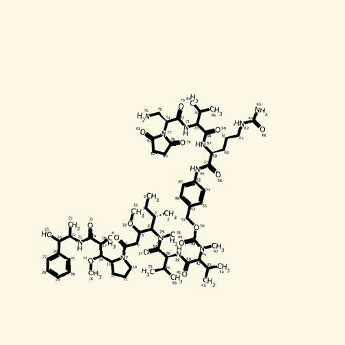 CC[C@H](C)C(C(CC(=O)N1CCCC1C(OC)C(C)C(=O)NC(C)C(O)c1ccccc1)OC)N(C)C(=O)[C@@H](NC(=O)C(C(C)C)N(C)C(=O)OCc1ccc(NC(=O)[C@H](CCCNC(N)=O)NC(=O)C(NC(=O)[C@H](CN)N2C(=O)CCC2=O)C(C)C)cc1)C(C)C